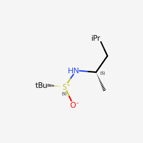 CC(C)C[C@H](C)N[S@+]([O-])C(C)(C)C